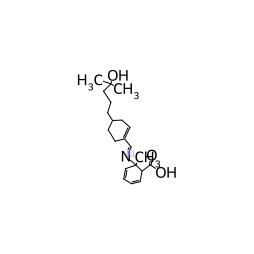 CC(C)(O)CCCC1CC=C(/C=N/C2(C)C=CC=CC2C(=O)O)CC1